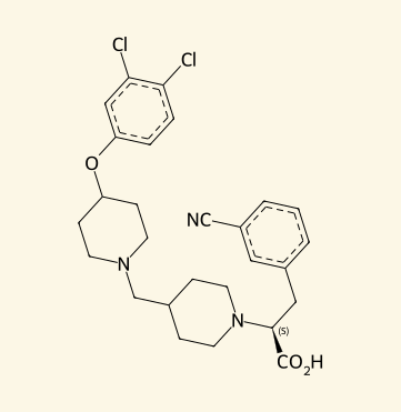 N#Cc1cccc(C[C@@H](C(=O)O)N2CCC(CN3CCC(Oc4ccc(Cl)c(Cl)c4)CC3)CC2)c1